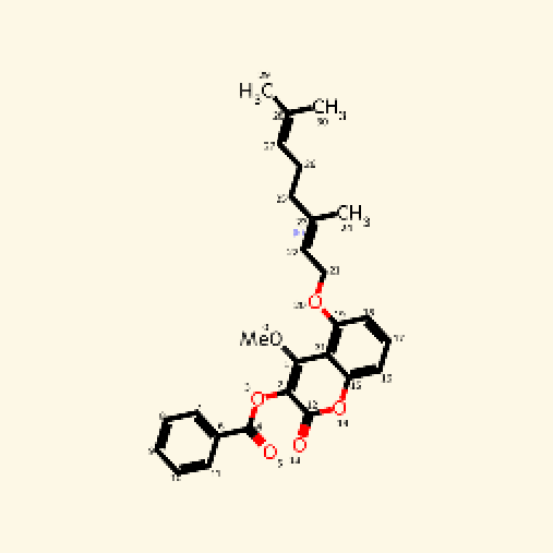 COc1c(OC(=O)c2ccccc2)c(=O)oc2cccc(OC/C=C(\C)CCC=C(C)C)c12